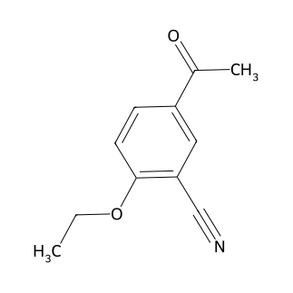 CCOc1ccc(C(C)=O)cc1C#N